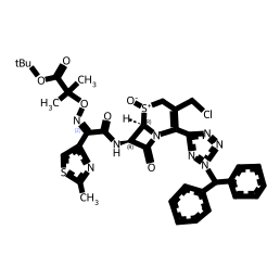 Cc1nc(/C(=N/OC(C)(C)C(=O)OC(C)(C)C)C(=O)N[C@@H]2C(=O)N3C(c4nnn(C(c5ccccc5)c5ccccc5)n4)=C(CCl)C[S+]([O-])[C@H]23)cs1